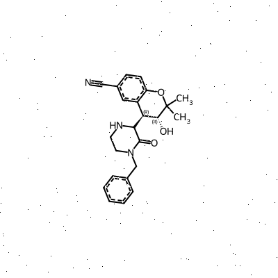 CC1(C)Oc2ccc(C#N)cc2[C@H](C2NCCN(Cc3ccccc3)C2=O)[C@H]1O